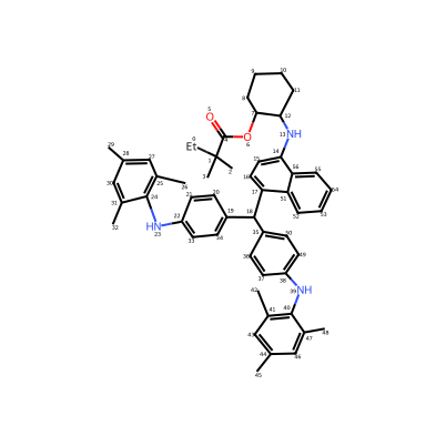 CCC(C)(C)C(=O)OC1CCCCC1Nc1ccc(C(c2ccc(Nc3c(C)cc(C)cc3C)cc2)c2ccc(Nc3c(C)cc(C)cc3C)cc2)c2ccccc12